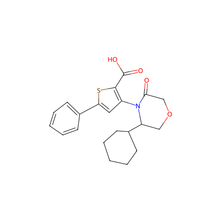 O=C(O)c1sc(-c2ccccc2)cc1N1C(=O)COCC1C1CCCCC1